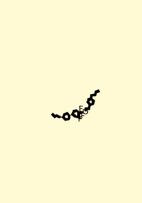 C=CCCc1ccc(CCOC(F)(F)c2ccc([C@H]3CC[C@H](CCC=C)CC3)cc2F)cc1